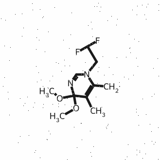 [CH2]C1=C(C)C(OC)(OC)N=CN1CC(F)F